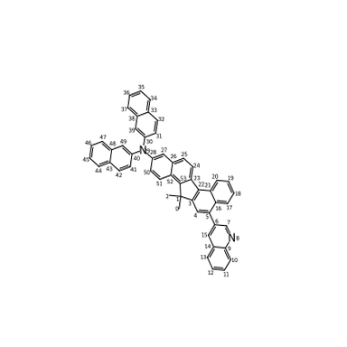 CC1(C)c2cc(-c3cnc4ccccc4c3)c3ccccc3c2-c2ccc3cc(N(c4ccc5ccccc5c4)c4ccc5ccccc5c4)ccc3c21